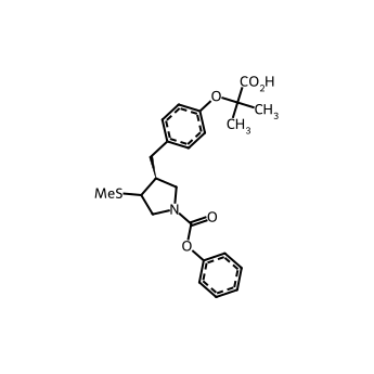 CSC1CN(C(=O)Oc2ccccc2)C[C@@H]1Cc1ccc(OC(C)(C)C(=O)O)cc1